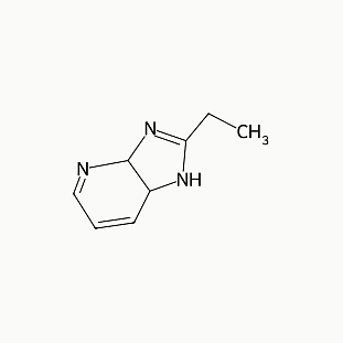 CCC1=NC2N=CC=CC2N1